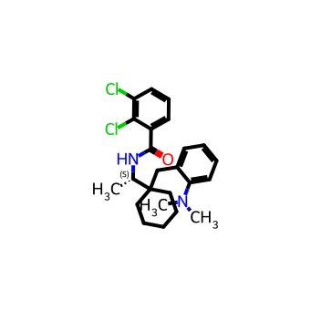 C[C@H](NC(=O)c1cccc(Cl)c1Cl)C1(Cc2ccccc2N(C)C)CCCCC1